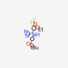 CCOc1cc(C(Nc2ccc(C(=O)OC(C)(C)C)cc2)c2cncnc2)ccc1OC(F)F